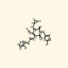 C=C1N(Cc2cnc(C)s2)C(=O)C(/C=C/SNC2(C)CC2)=C(SC)N1CC1CC1